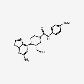 COc1ccc(NC(=O)N2CCN(c3nc(N)nc4scnc34)[C@@H](CO)C2)cc1